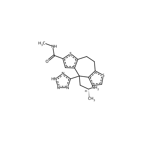 CNC(=O)c1cc2c(s1)CCc1sccc1C2(C[C@@H](C)N)c1nn[nH]n1